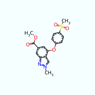 COC(=O)c1cc(Oc2ccc(S(C)(=O)=O)cc2)c2cn(C)nc2c1